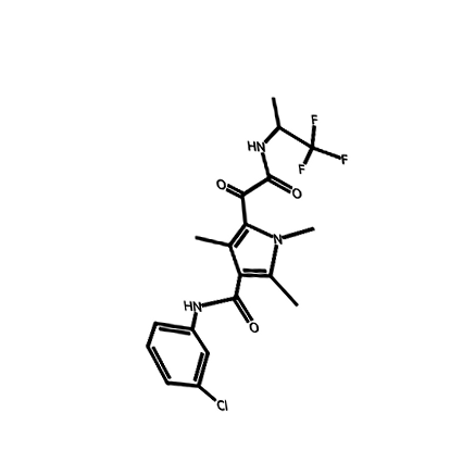 Cc1c(C(=O)Nc2cccc(Cl)c2)c(C)n(C)c1C(=O)C(=O)NC(C)C(F)(F)F